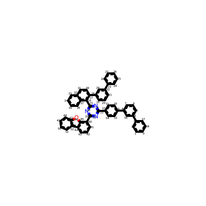 c1ccc(-c2cccc(-c3ccc(-c4nc(-c5c(-c6cccc(-c7ccccc7)c6)ccc6ccccc56)nc(-c5cccc6c5oc5ccccc56)n4)cc3)c2)cc1